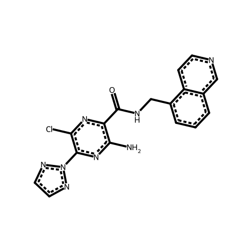 Nc1nc(-n2nccn2)c(Cl)nc1C(=O)NCc1cccc2cnccc12